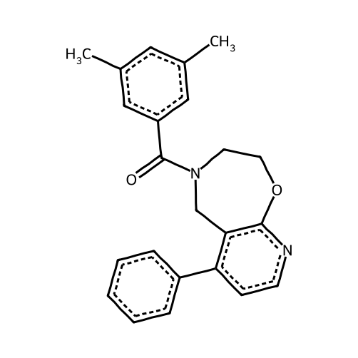 Cc1cc(C)cc(C(=O)N2CCOc3nccc(-c4ccccc4)c3C2)c1